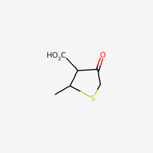 CC1SCC(=O)C1C(=O)O